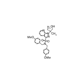 COc1ccc(CN(Cc2ccc(OC)cc2)S(=O)(=O)c2nn(C(C)(C)CO)c3ncccc23)cc1